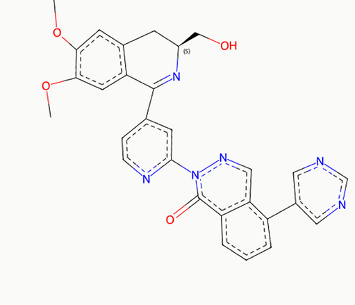 COc1cc2c(cc1OC)C(c1ccnc(-n3ncc4c(-c5cncnc5)cccc4c3=O)c1)=N[C@H](CO)C2